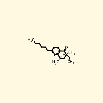 CCCCCCc1ccc2c(n1)[C@@H](C)C[C@](C)(CC)C2=O